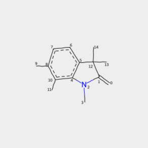 C=C1N(C)c2c(ccc(C)c2C)C1(C)C